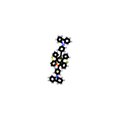 c1ccc2c(c1)Sc1ccccc1C21c2cc(-c3ccc(-n4c5ccccc5c5ccccc54)cc3)sc2C2(c3ccccc3Sc3ccccc32)c2cc(-c3ccc(-n4c5ccccc5c5ccccc54)cc3)sc21